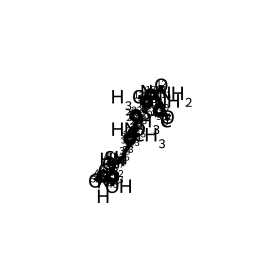 COc1cccc(Nc2c(C(N)=O)cnc3c(C)cc(Sc4cccc(C(=O)Nc5ccc(CCCNC[C@H](OS)c6ccc(O)c7c6OCC(=O)N7)cc5C)c4)cc23)c1